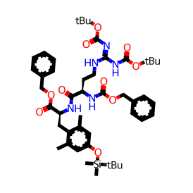 Cc1cc(O[Si](C)(C)C(C)(C)C)cc(C)c1C[C@H](NC(=O)[C@@H](CCN/C(=N\C(=O)OC(C)(C)C)NC(=O)OC(C)(C)C)NC(=O)OCc1ccccc1)C(=O)OCc1ccccc1